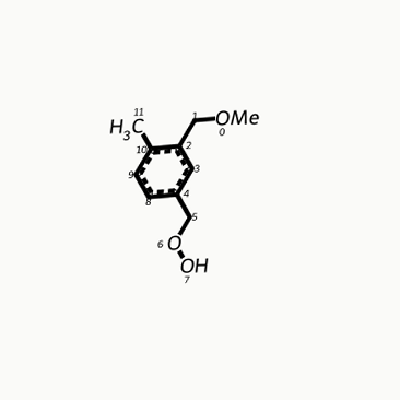 COCc1cc(COO)ccc1C